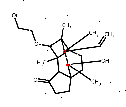 C=CC1(C)CC2(C)C3CCC4(CCC(=O)C4C3(C)C2OCCO)C(C)C1O